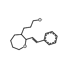 [O]CCCC1CCCCOC1C=Cc1ccccc1